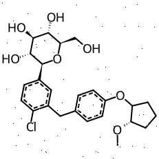 CO[C@H]1CCCC1Oc1ccc(Cc2cc([C@@H]3O[C@H](CO)[C@@H](O)[C@H](O)[C@H]3O)ccc2Cl)cc1